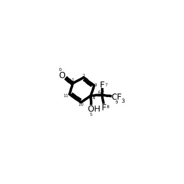 O=C1C=CC(O)(C(F)(F)C(F)(F)F)C=C1